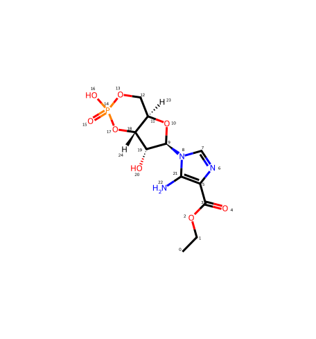 CCOC(=O)c1ncn([C@@H]2O[C@@H]3COP(=O)(O)O[C@H]3[C@H]2O)c1N